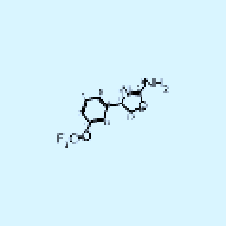 NC1=NC(c2cccc(OC(F)(F)F)c2)CO1